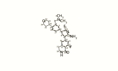 CN(C)Cc1cc(-c2cc(-c3cc(F)c4c(c3)CCNC4=O)c(N)nc2F)ccc1C1CCOCC1